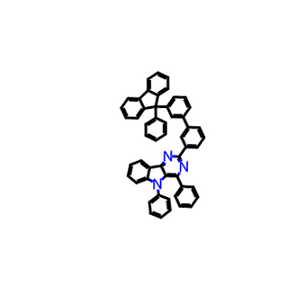 c1ccc(-c2nc(-c3cccc(-c4cccc(C5(c6ccccc6)c6ccccc6-c6ccccc65)c4)c3)nc3c4ccccc4n(-c4ccccc4)c23)cc1